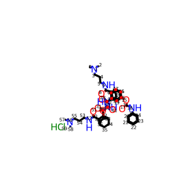 CN(C)CCCNC(=O)C1C2CCC(C(OC(=O)Nc3ccccc3)C2)C1C(=O)NC(=O)C1C2CCC(CC2OC(=O)Nc2ccccc2)C1C(=O)NCCCN(C)C.Cl